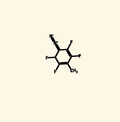 CC1=C(F)C(F)C(=[N+]=[N-])C(F)=C1F